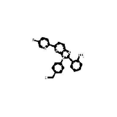 Nc1ccccc1-c1nc2ccc(-c3ccc(F)cn3)nc2n1-c1ccc(CCl)cc1